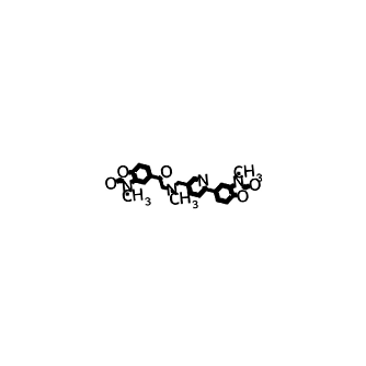 CN(CC(=O)c1ccc2oc(=O)n(C)c2c1)Cc1ccc(-c2ccc3oc(=O)n(C)c3c2)nc1